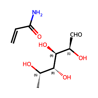 C=CC(N)=O.C[C@H](O)[C@@H](O)[C@@H](O)[C@H](O)C=O